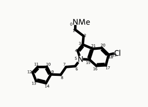 CNCCc1cn(CCCc2ccccc2)c2ccc(Cl)cc12